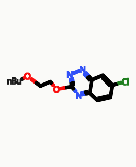 CCCCOCCOc1nnc2cc(Cl)ccc2n1